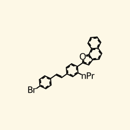 CCCc1cc(/C=C/c2ccc(Br)cc2)ccc1-c1cc2ccc3ccccc3c2o1